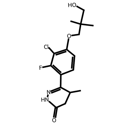 CC1CC(=O)NN=C1c1ccc(OCC(C)(C)CO)c(Cl)c1F